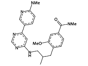 CNC(=O)c1ccc(CC(C)CNc2cc(-c3ccc(NC)nc3)ncn2)c(OC)c1